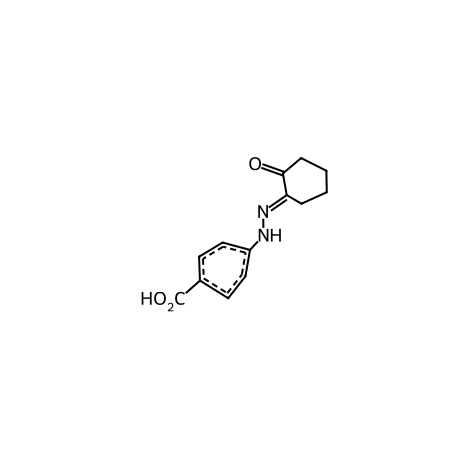 O=C1CCCC/C1=N\Nc1ccc(C(=O)O)cc1